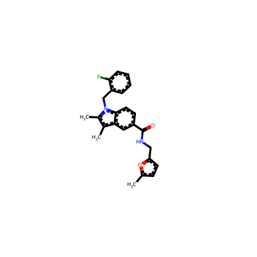 Cc1ccc(CNC(=O)c2ccc3c(c2)c(C)c(C)n3Cc2ccccc2F)o1